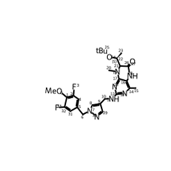 COc1c(F)cc(Cn2cc(CNc3nc(C)c4c(n3)N(C)C([C@H](C)OC(C)(C)C)C(=O)N4)cn2)cc1F